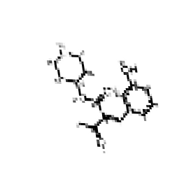 CC(=O)C(=Cc1cccc(O)c1)C(=O)OC1CCOCC1